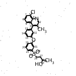 Cc1cnc2c(Cl)cccc2c1-c1cccc(Oc2cccc(S(=O)(=O)CCC(C)O)c2)c1